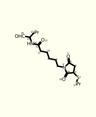 CC(C)SC1CC(=O)N(CCCCCC(=O)NC(C=O)C(C)C)C1=O